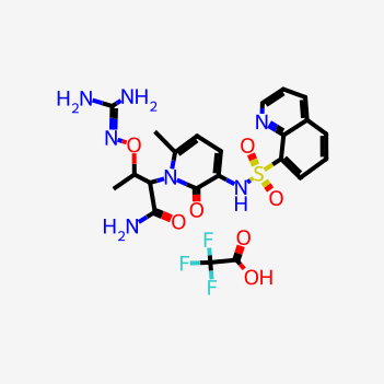 Cc1ccc(NS(=O)(=O)c2cccc3cccnc23)c(=O)n1C(C(N)=O)C(C)ON=C(N)N.O=C(O)C(F)(F)F